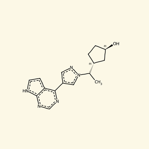 CC([C@@H]1CC[C@@H](O)C1)n1cc(-c2ncnc3[nH]ccc23)cn1